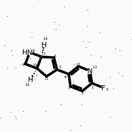 Fc1ccc(C2=C[C@@H]3NC[C@@H]3C2)cn1